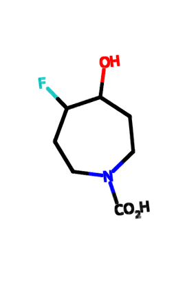 O=C(O)N1CCC(O)C(F)CC1